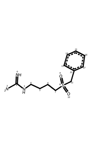 N=C(N)NCCCCS(=O)(=O)Cc1ccccc1